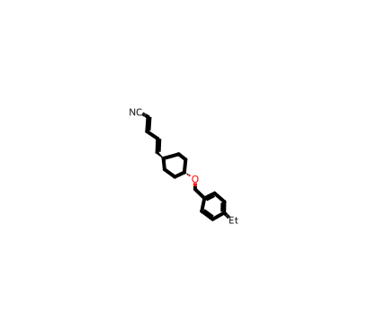 CCc1ccc(CO[C@H]2CC[C@H](/C=C/C=C/C#N)CC2)cc1